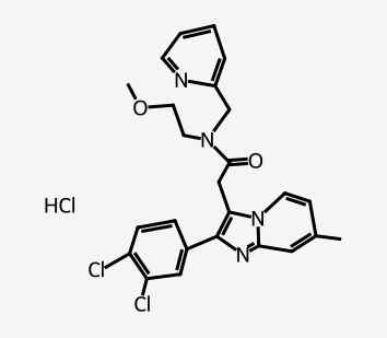 COCCN(Cc1ccccn1)C(=O)Cc1c(-c2ccc(Cl)c(Cl)c2)nc2cc(C)ccn12.Cl